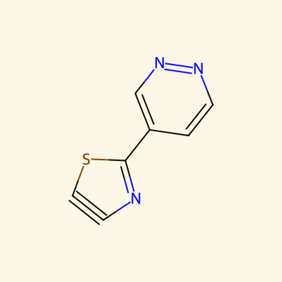 c1nc(-c2ccnnc2)sc#1